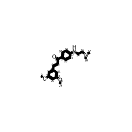 COc1cc(C=CC(=O)c2ccc(NCCN(C)C)cc2)cc(OC)c1